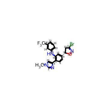 Cn1cnc(-c2ccc([C@@H]3CC(Br)=NO3)cc2Nc2cccc(C(F)(F)F)c2)c1